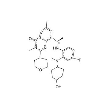 Cc1cc([C@@H](C)Nc2ccc(F)cc2N(C)C2CCC(O)CC2)c2nc(C3CCOCC3)n(C)c(=O)c2c1